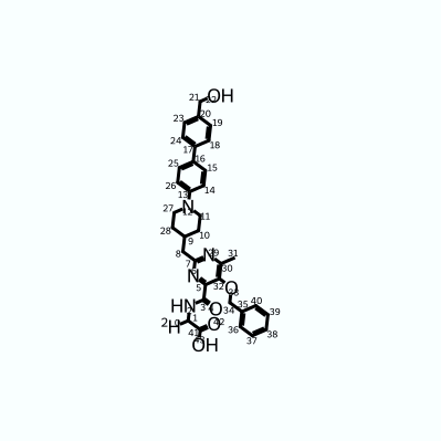 [2H]C(NC(=O)c1nc(CC2CCN(c3ccc(-c4ccc(CO)cc4)cc3)CC2)nc(C)c1OCc1ccccc1)C(=O)O